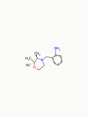 C[C@H]1N(Cc2ccccc2N)CCO[C@]1(C)C#N